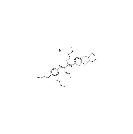 CC=CC(=Nc1ccc(CCCC)c(CCCC)c1)C(CCCCC)=Nc1ccc(CCCC)c(CCCC)c1.[Ni]